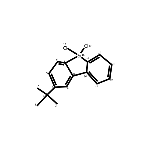 CC(C)(C)c1ccc2c(c1)-c1ccccc1[Si]2(Cl)Cl